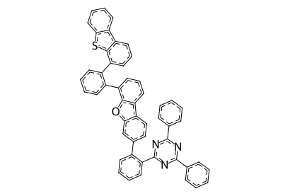 c1ccc(-c2nc(-c3ccccc3)nc(-c3ccccc3-c3ccc4c(c3)oc3c(-c5ccccc5-c5cccc6c5sc5ccccc56)cccc34)n2)cc1